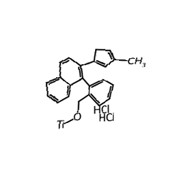 CC1=CCC(c2ccc3ccccc3c2-c2ccccc2C[O][Ti])=C1.Cl.Cl